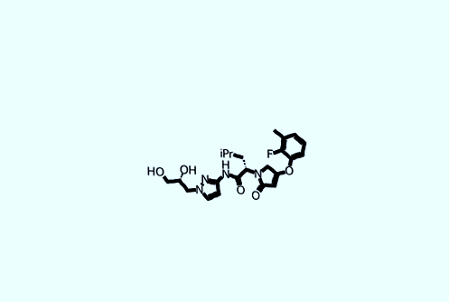 Cc1cccc(OC2=CC(=O)N([C@@H](CC(C)C)C(=O)Nc3ccn(C[C@@H](O)CO)n3)C2)c1F